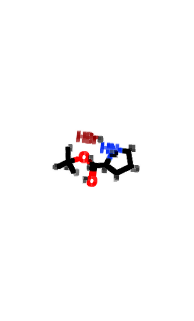 Br.CC(C)(C)OC(=O)C1CCCN1